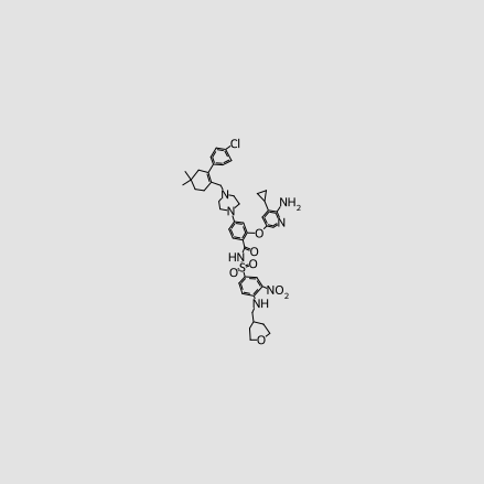 CC1(C)CCC(CN2CCN(c3ccc(C(=O)NS(=O)(=O)c4ccc(NCC5CCOCC5)c([N+](=O)[O-])c4)c(Oc4cnc(N)c(C5CC5)c4)c3)CC2)=C(c2ccc(Cl)cc2)C1